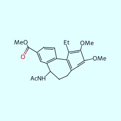 CCc1c(OC)c(OC)cc2c1-c1ccc(C(=O)OC)cc1C(NC(C)=O)CC2